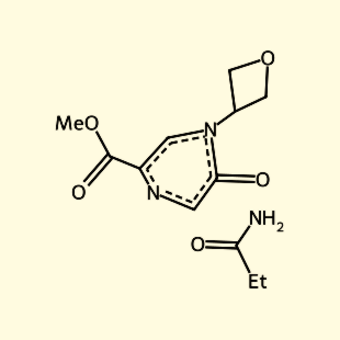 CCC(N)=O.COC(=O)c1cn(C2COC2)c(=O)cn1